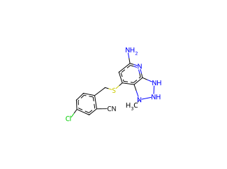 CN1NNc2nc(N)cc(SCc3ccc(Cl)cc3C#N)c21